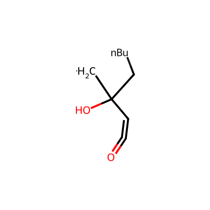 [CH2]C(O)(C=C=O)CCCCC